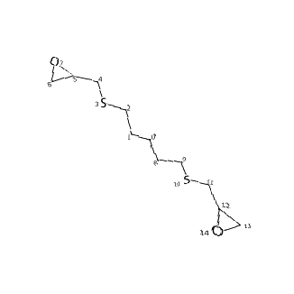 C(CCSCC1CO1)CCSCC1CO1